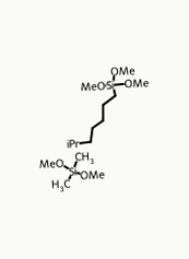 CO[Si](C)(C)OC.CO[Si](CCCCCC(C)C)(OC)OC